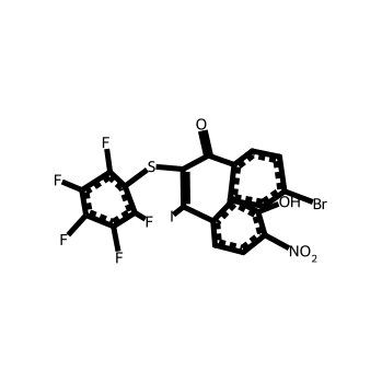 O=C(C(Sc1c(F)c(F)c(F)c(F)c1F)=C(I)c1ccc([N+](=O)[O-])c(O)c1)c1ccc(Br)cc1